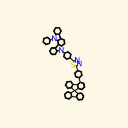 c1ccc(-n2c3ccccc3c3ccc4c(c5ccccc5n4-c4ccc(-c5nnc(-c6ccc(-c7cccc8c7-c7ccccc7C87c8ccccc8-c8ccccc87)cc6)s5)cc4)c32)cc1